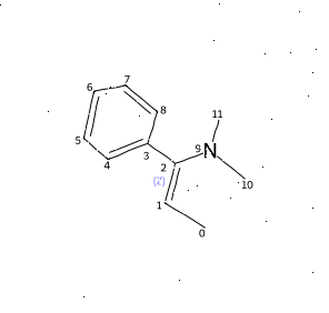 C/C=C(/c1ccccc1)N(C)C